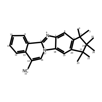 CC1(C)c2cc3nc4c5ccccc5c(C#N)cn4c3cc2C(C)(C)C1(C)C